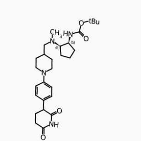 CN(CC1CCN(c2ccc(C3CCC(=O)NC3=O)cc2)CC1)[C@@H]1CCC[C@@H]1NC(=O)OC(C)(C)C